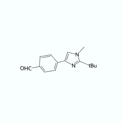 Cn1cc(-c2ccc(C=O)cc2)nc1C(C)(C)C